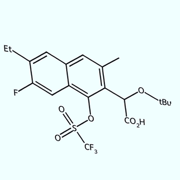 CCc1cc2cc(C)c(C(OC(C)(C)C)C(=O)O)c(OS(=O)(=O)C(F)(F)F)c2cc1F